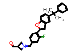 CC(C)(c1ccccc1)c1ccc2oc(-c3ccc(CN4CC(C=O)C4)cc3F)cc2c1